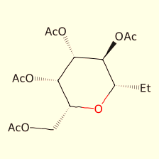 [CH2]C[C@@H]1O[C@H](COC(C)=O)[C@H](OC(C)=O)[C@H](OC(C)=O)[C@H]1OC(C)=O